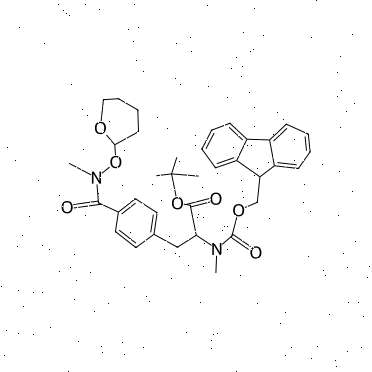 CN(OC1CCCCO1)C(=O)c1ccc(CC(C(=O)OC(C)(C)C)N(C)C(=O)OCC2c3ccccc3-c3ccccc32)cc1